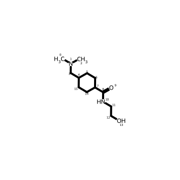 CN(C)CC1CCC(C(=O)NCCO)CC1